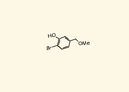 COCc1ccc(Br)c(O)c1